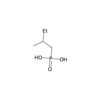 CCC(C)CP(=O)(O)O